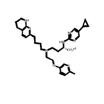 Cc1ccc(OCCN(CCCCc2ccc3c(n2)NCCC3)CC[C@H](Nc2ncc(C3CC3)cn2)C(=O)O)cn1